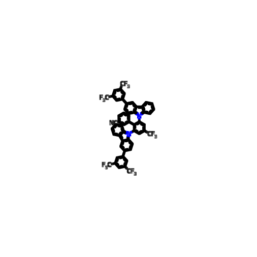 N#Cc1cccc(-c2c(-n3c4ccccc4c4cc(-c5cc(C(F)(F)F)cc(C(F)(F)F)c5)ccc43)cc(C(F)(F)F)cc2-n2c3ccccc3c3cc(-c4cc(C(F)(F)F)cc(C(F)(F)F)c4)ccc32)c1